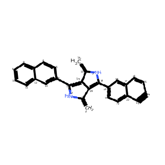 C=c1[nH]c(-c2ccc3ccccc3c2)c2c(=C)[nH]c(-c3ccc4c#cccc4c3)c12